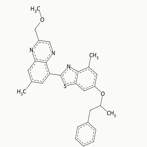 COCc1cnc2c(-c3nc4c(C)cc(OC(C)Cc5ccccc5)cc4s3)cc(C)cc2n1